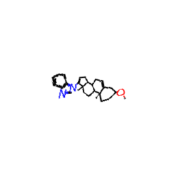 CO[C@H]1CC[C@@]2(C)C(=CCC3C4CC=C(n5cnc6ccccc65)C4(C)CCC32)C1